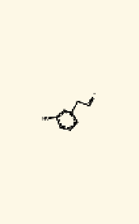 O=CCc1cccc(O)c1